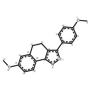 COc1ccc(-c2onc3c2CCc2cc(OC)ccc2-3)cc1